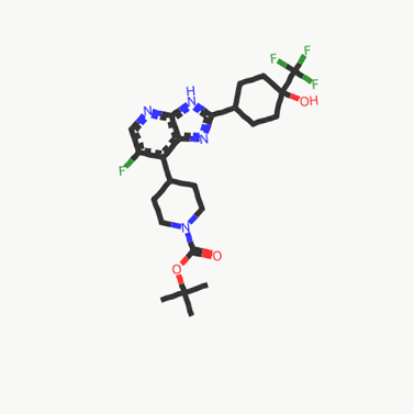 CC(C)(C)OC(=O)N1CCC(c2c(F)cnc3[nH]c(C4CCC(O)(C(F)(F)F)CC4)nc23)CC1